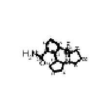 NC(=O)c1cccc(C(F)(F)F)c1C1CCCC1N1CCCC1